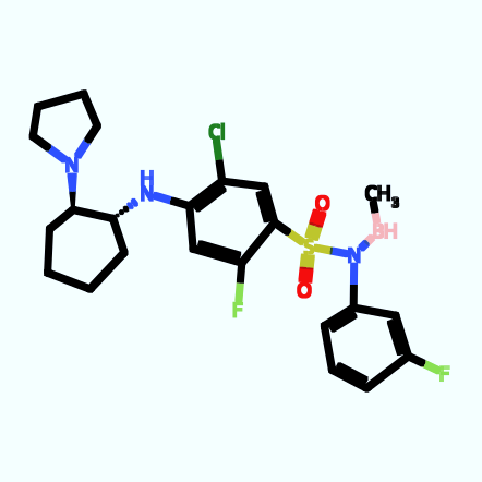 CBN(c1cccc(F)c1)S(=O)(=O)c1cc(Cl)c(N[C@@H]2CCCC[C@H]2N2CCCC2)cc1F